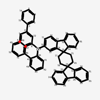 c1ccc(-c2cccc(N(c3ccc4c(c3)C3(CCC5(CC3)c3ccccc3-c3ccccc35)c3ccccc3-4)c3ccccc3-c3ccccc3)c2)cc1